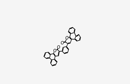 O=c1oc2c3ccccc3c3ccccc3c2cc1-c1cccc(-c2cc3c4ccccc4c4ccccc4c3oc2=O)c1